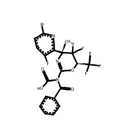 C[C@]1(c2nc(Br)ccc2F)N=C(N(C(=O)O)C(=O)c2ccccc2)O[C@H](C(F)(F)F)C1(F)F